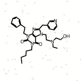 CCCCCn1c(=O)c2c(nc(Cc3cccnc3)n2CCN(CC)CCO)n(CCc2ccccc2)c1=O